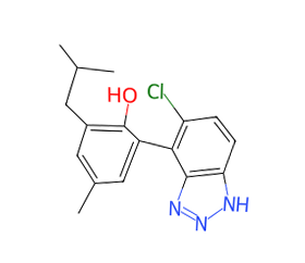 Cc1cc(CC(C)C)c(O)c(-c2c(Cl)ccc3[nH]nnc23)c1